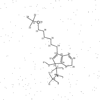 CCC1(C(C)(C)N(C)C(C)(C)C)C=C(CCCCCCOC(C)(C)C)C2=C1CCC=C2